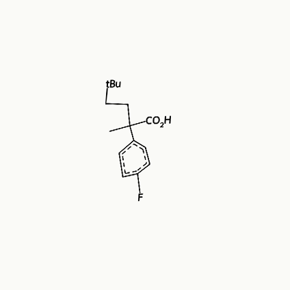 CC(C)(C)CCC(C)(C(=O)O)c1ccc(F)cc1